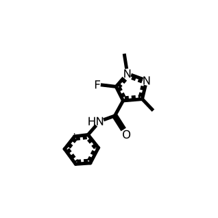 Cc1nn(C)c(F)c1C(=O)Nc1[c]cccc1